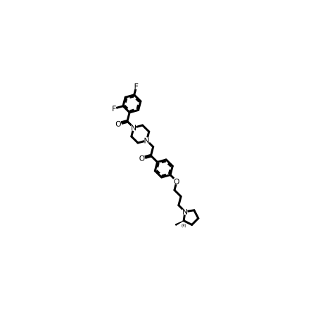 C[C@@H]1CCCN1CCCOc1ccc(C(=O)CN2CCN(C(=O)c3ccc(F)cc3F)CC2)cc1